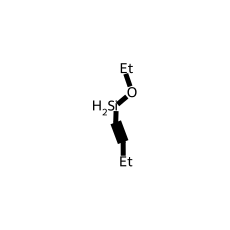 CCC#C[SiH2]OCC